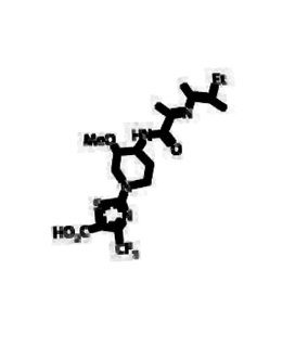 CC/C(C)=C(C)/N=C(\C)C(=O)NC1CCN(c2nc(C(F)(F)F)c(C(=O)O)s2)CC1OC